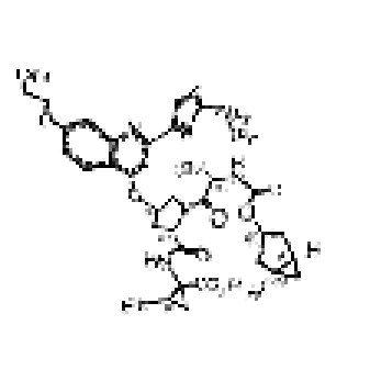 CC[C@@H]1CC1(NC(=O)[C@@H]1C[C@@H](Oc2cc(-c3csc(NC(C)C)n3)nc3cc(OCCO)ccc23)CN1C(=O)[C@@H](NC(=O)O[C@@H]1C[C@@H]2C[C@@H]2C1)C(C)(C)C)C(=O)O